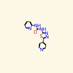 O=C(Nc1ccccn1)Nc1nnc(-c2ccncc2)s1